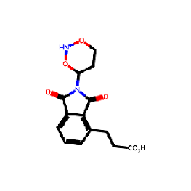 O=C(O)CCc1cccc2c1C(=O)N(C1CCONO1)C2=O